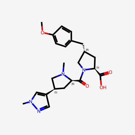 COc1ccc(C[C@@H]2C[C@@H](C(=O)O)N(C(=O)[C@H]3C[C@@H](c4cnn(C)c4)CN3C)C2)cc1